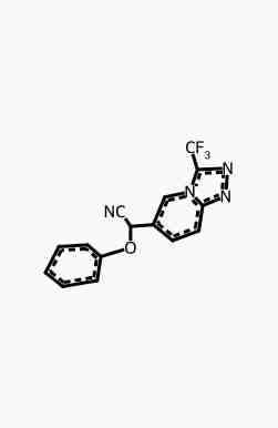 N#CC(Oc1ccccc1)c1ccc2nnc(C(F)(F)F)n2c1